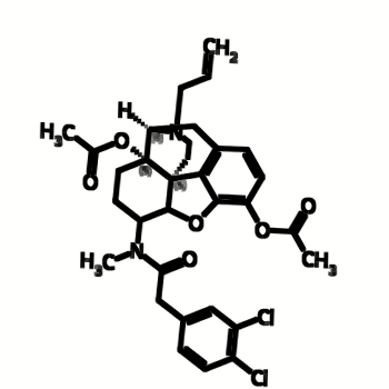 C=CCN1CC[C@]23c4c5ccc(OC(C)=O)c4OC2C(N(C)C(=O)Cc2ccc(Cl)c(Cl)c2)CC[C@@]3(OC(C)=O)[C@H]1C5